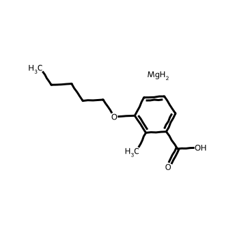 CCCCCOc1cccc(C(=O)O)c1C.[MgH2]